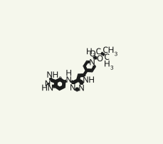 CC(C)(C)OC(=O)N1CC=C(c2cc3c(Nc4ccc5[nH]nc(N)c5c4)ncnc3[nH]2)CC1